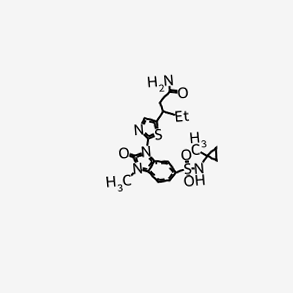 CCC(CC(N)=O)c1cnc(-n2c(=O)n(C)c3ccc(S(=O)(=O)NC4(C)CC4)cc32)s1